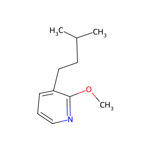 COc1ncccc1CCC(C)C